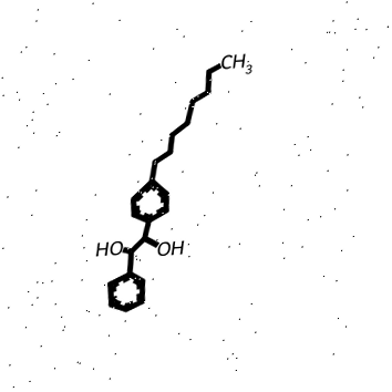 CCCCCCCCc1ccc(C(O)C(O)c2ccccc2)cc1